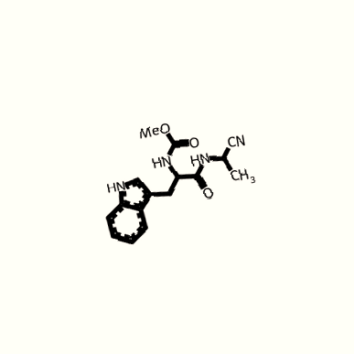 COC(=O)NC(Cc1c[nH]c2ccccc12)C(=O)NC(C)C#N